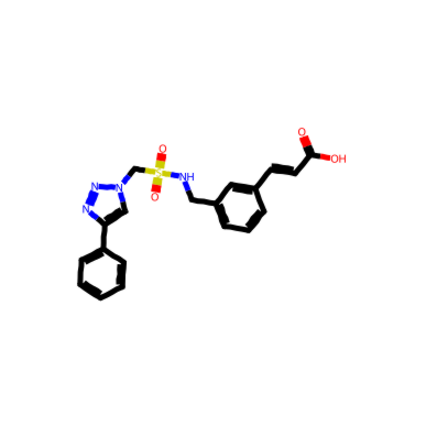 O=C(O)C=Cc1cccc(CNS(=O)(=O)Cn2cc(-c3ccccc3)nn2)c1